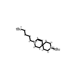 CC(C)(C)CCCCN1C=CC2(CC1)CCN(C(C)(C)C)CC2